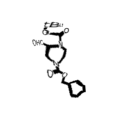 CC(C)(C)OC(=O)N1CCN(C(=O)OCc2ccccc2)CC1C=O